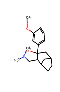 COc1cccc(C2(O)CC3CCC(C3)C2CN(C)C)c1